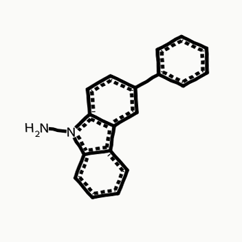 Nn1c2ccccc2c2cc(-c3ccccc3)ccc21